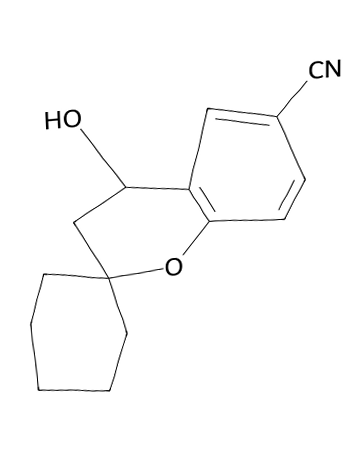 N#Cc1ccc2c(c1)C(O)CC1(CCCCC1)O2